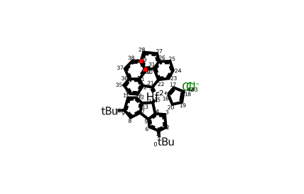 CC(C)(C)c1ccc2c(c1)-c1cc(C(C)(C)C)ccc1[CH]2[Hf+2]([C]1=CC=CC1)=[C](c1cccc2ccccc12)c1cccc2ccccc12.[Cl-].[Cl-]